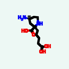 N[C@@H]1CCN[C@](CCCCB(O)O)(C(=O)O)C1